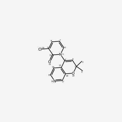 CC1(C)C=C(n2cccc(Cl)c2=O)c2ccncc2O1